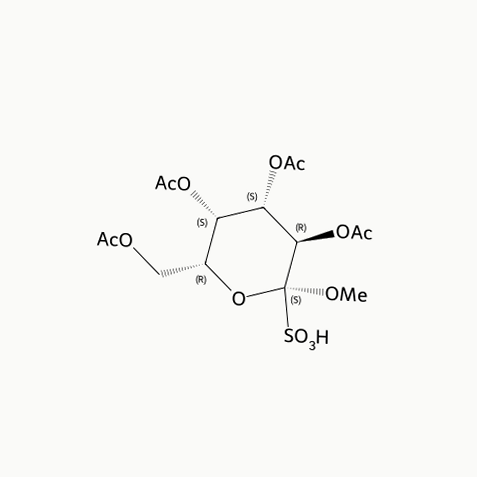 CO[C@]1(S(=O)(=O)O)O[C@H](COC(C)=O)[C@H](OC(C)=O)[C@H](OC(C)=O)[C@H]1OC(C)=O